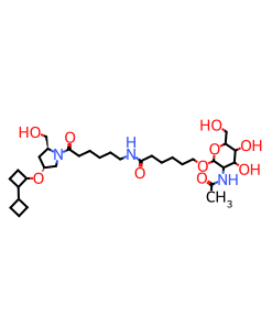 CC(=O)NC1C(OCCCCCC(=O)NCCCCCC(=O)N2C[C@H](OC3CCC3C3CCC3)C[C@H]2CO)OC(CO)C(O)C1O